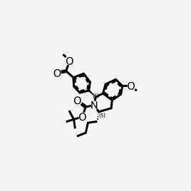 CCCC[C@H]1Cc2cc(OC)ccc2[C@H](c2ccc(C(=O)OC)cc2)N1C(=O)OC(C)(C)C